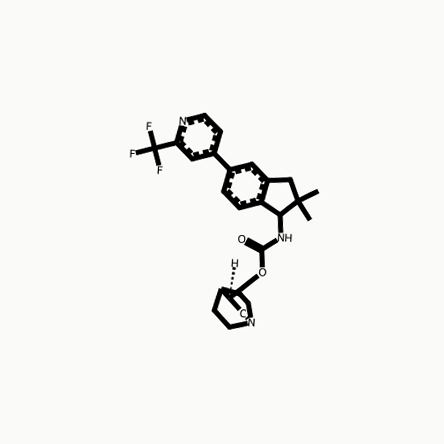 CC1(C)Cc2cc(-c3ccnc(C(F)(F)F)c3)ccc2C1NC(=O)O[C@H]1CN2CCC1CC2